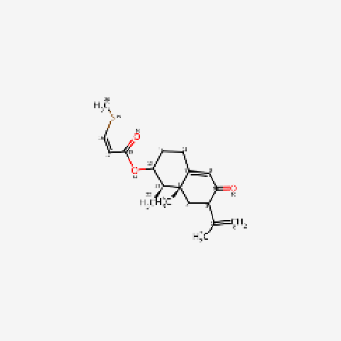 C=C(C)C1C[C@@]2(C)C(=CC1=O)CCC(OC(=O)/C=C\SC)[C@@H]2C